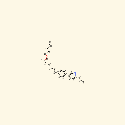 C=CCc1ccc(-c2ccc(/C=C/CCCC(C)OCCCCC)cc2)cn1